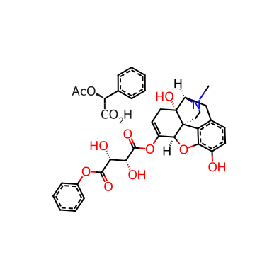 CC(=O)O[C@H](C(=O)O)c1ccccc1.CN1CC[C@]23c4c5ccc(O)c4O[C@H]2C(OC(=O)[C@H](O)[C@@H](O)C(=O)Oc2ccccc2)=CC[C@@]3(O)[C@H]1C5